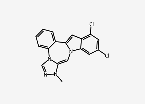 CN1N=CN2C1=Cn1c(cc3c(Cl)cc(Cl)cc31)-c1ccccc12